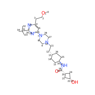 COCCc1cc(N2CCN(CC[C@H]3CC[C@H](NC(=O)[C@H]4C[C@@H](O)C4)CC3)CC2)nc(C(C)(C)C)n1